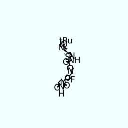 CC(C)(C)c1cnc(CSc2cnc(NC(=O)C3CCN(Cc4ccc(N5CCC(=O)NC5=O)cc4F)CC3)s2)o1